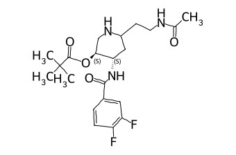 CC(=O)NCCC1C[C@H](NC(=O)c2ccc(F)c(F)c2)[C@@H](OC(=O)C(C)(C)C)CN1